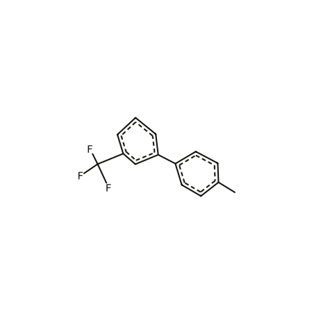 Cc1ccc(-c2cccc(C(F)(F)F)c2)cc1